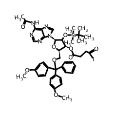 COc1ccc(C(OC[C@H]2O[C@@H](n3cnc4c(NC(C)=O)ncnc43)C(O[Si](C)(C)C(C)(C)C)[C@H]2OC(=O)CCC(=O)I)(c2ccccc2)c2ccc(OC)cc2)cc1